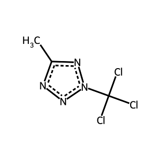 Cc1nnn(C(Cl)(Cl)Cl)n1